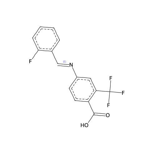 O=C(O)c1ccc(/N=C/c2ccccc2F)cc1C(F)(F)F